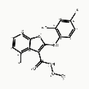 CCONC(=O)c1c(Nc2ccc(I)cc2F)sc2nccc(C)c12